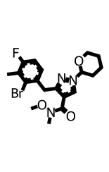 CON(C)C(=O)c1cn(C2CCCCO2)nc1Cc1ccc(F)c(C)c1Br